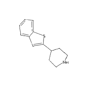 c1ccc2sc(C3CCNCC3)cc2c1